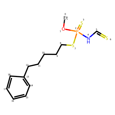 CCOP(=S)(NC=S)SCCCCCc1ccccc1